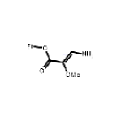 CCOC(=O)/C(=C/N)OC